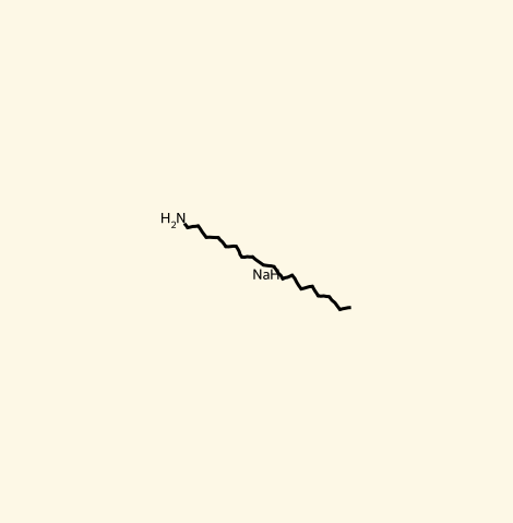 CCCCCCCCCCCCCCCCCCN.[NaH]